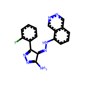 NC1=NN=C(c2ccccc2F)/C1=N\Nc1cccc2cnncc12